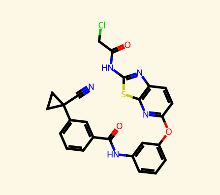 N#CC1(c2cccc(C(=O)Nc3cccc(Oc4ccc5nc(NC(=O)CCl)sc5n4)c3)c2)CC1